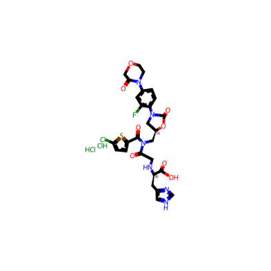 Cl.Cl.O=C(O)[C@@H](Cc1c[nH]cn1)NCC(=O)N(C[C@H]1CN(c2ccc(N3CCOCC3=O)cc2F)C(=O)O1)C(=O)c1ccc(Cl)s1